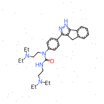 CCN(CC)CCNC(=O)N(CCN(CC)CC)c1ccc(-c2n[nH]c3c2Cc2ccccc2-3)cc1